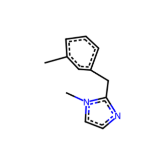 Cc1cccc(Cc2nccn2C)c1